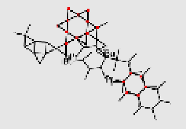 CCCC(CC(C)CC)C1(C)C2(CC23CC32CC23CC32C[C@]23CC32CC23CC32CC23C2C4(C5C4C5(C(C)C(C)C(C)C(C)CC)C(C)(C)C(C)C(C)C(I)C(C)C(C)C(I)C(C)C(C)C(C)C(C)C(C)C(C)C(C)C(C)C(C)C(C)C)C23C)C12CC21C2C13CC31C3C(C)(C)C321